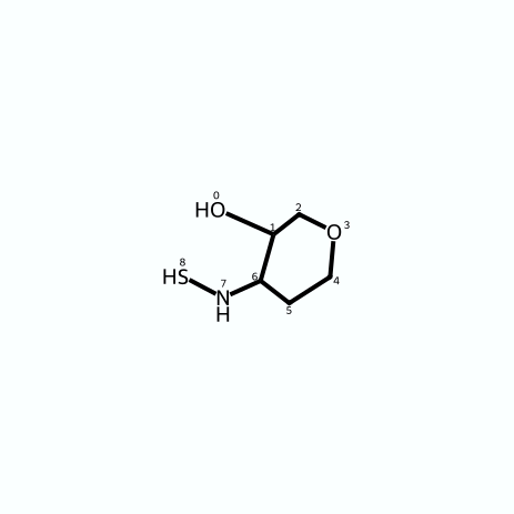 OC1COCCC1NS